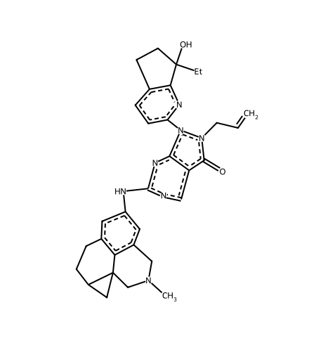 C=CCn1c(=O)c2cnc(Nc3cc4c5c(c3)CN(C)CC53CC3CC4)nc2n1-c1ccc2c(n1)C(O)(CC)CC2